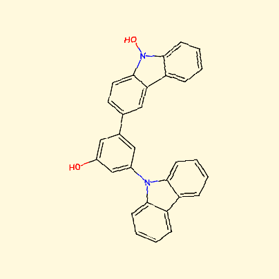 Oc1cc(-c2ccc3c(c2)c2ccccc2n3O)cc(-n2c3ccccc3c3ccccc32)c1